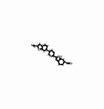 N#Cc1ccc2cc(-c3ccc(-c4ccc5cc(C#N)oc5c4)cn3)[nH]c2c1